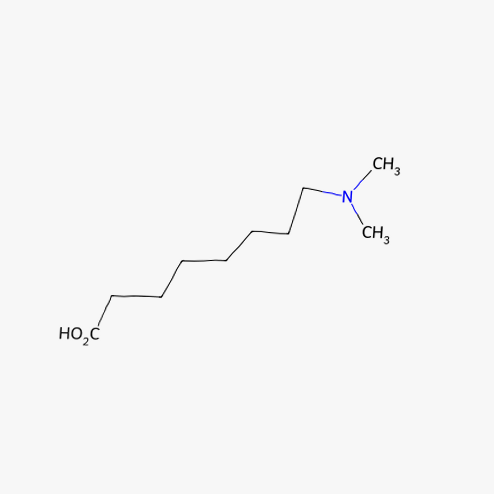 CN(C)CCCCCCCC(=O)O